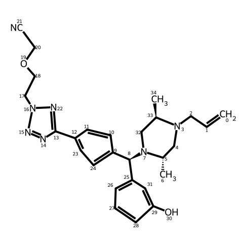 C=CCN1C[C@H](C)N([C@H](c2ccc(-c3nnn(CCOCC#N)n3)cc2)c2cccc(O)c2)C[C@H]1C